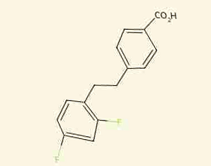 O=C(O)c1ccc(CCc2ccc(F)cc2F)cc1